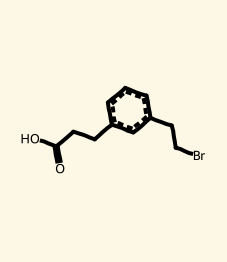 O=C(O)CCc1cccc(CCBr)c1